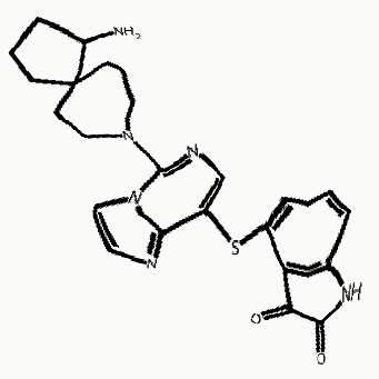 NC1CCCC12CCN(c1ncc(Sc3cccc4c3C(=O)C(=O)N4)c3nccn13)CC2